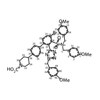 COc1ccc(CN(Cc2ccc(OC)cc2)S(=O)(=O)c2c(Br)ccc(-c3ccc(C4CCN(C(=O)O)CC4)cc3)c2-c2nnn(Cc3ccc(OC)cc3)n2)cc1